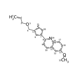 C=CCOCc1cc(-c2ccc3cc(OC)ccc3n2)cs1